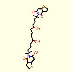 CC(C)(CCCC(O)CCCC(O)CCCC(C)(C)N1C(=O)C=C2SCCC2C1=O)N1C(=O)C=C2SCCC2C1=O